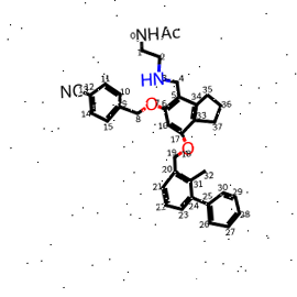 CC(=O)NCCNCc1c(OCc2ccc(C#N)cc2)cc(OCc2cccc(-c3ccccc3)c2C)c2c1CCC2